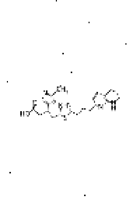 Cc1ncc(C(CC(=O)O)Cc2nnc(CCCc3ccc4c(n3)NCCC4)s2)s1